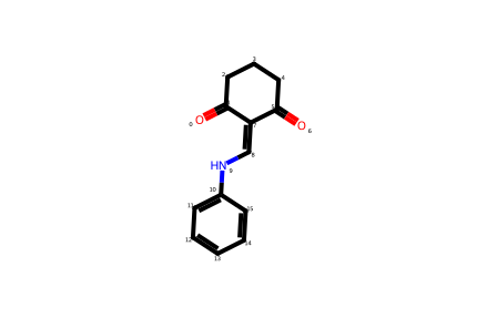 O=C1CCCC(=O)C1=CNc1ccccc1